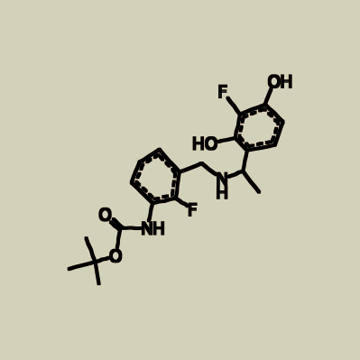 CC(NCc1cccc(NC(=O)OC(C)(C)C)c1F)c1ccc(O)c(F)c1O